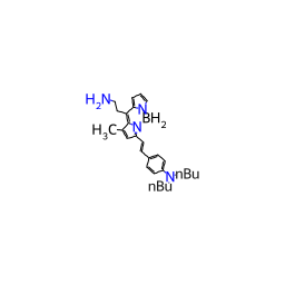 Bn1cccc1/C(CCN)=C1N=C(/C=C/c2ccc(N(CCCC)CCCC)cc2)C=C\1C